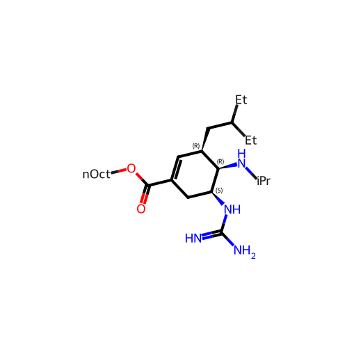 CCCCCCCCOC(=O)C1=C[C@@H](CC(CC)CC)[C@@H](NC(C)C)[C@@H](NC(=N)N)C1